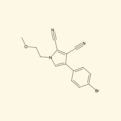 COCCn1cc(-c2ccc(Br)cc2)c(C#N)c1C#N